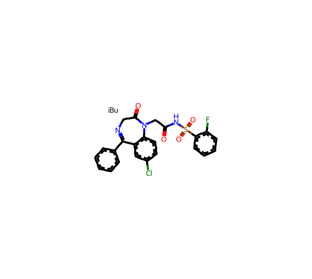 CC[C@H](C)C1N=C(c2ccccc2)c2cc(Cl)ccc2N(CC(=O)NS(=O)(=O)c2ccccc2F)C1=O